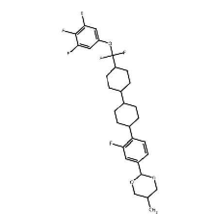 CC1COC(c2ccc(C3CCC(C4CCC(C(F)(F)Oc5cc(F)c(F)c(F)c5)CC4)CC3)c(F)c2)OC1